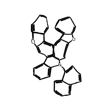 c1ccc(N(c2ccc3c(c2)oc2ccccc23)c2cccc3ccccc23)c(-c2ccc3c(c2)oc2ccccc23)c1